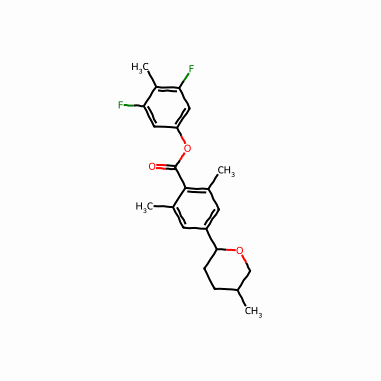 Cc1cc(C2CCC(C)CO2)cc(C)c1C(=O)Oc1cc(F)c(C)c(F)c1